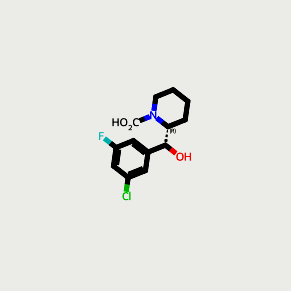 O=C(O)N1CCCC[C@@H]1C(O)c1cc(F)cc(Cl)c1